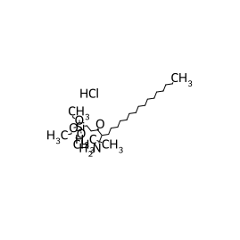 CCCCCCCCCCCCCCCCC(C(=O)CC[Si](OCC)(OCC)OCC)C(C)(C)N.Cl